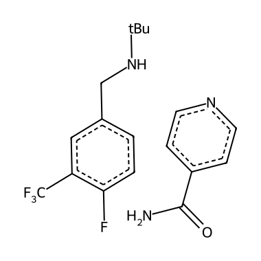 CC(C)(C)NCc1ccc(F)c(C(F)(F)F)c1.NC(=O)c1ccncc1